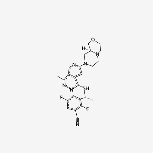 Cc1nnc(N[C@H](C)c2cc(F)cc(C#N)c2F)c2cc(N3CCN4CCOC[C@@H]4C3)ncc12